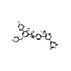 Cc1ccc(-c2cn(CC3CCOCC3)cc(C(=O)Nc3ccc(-c4cc(-c5cc(C)nc(C)c5)cnc4N)cc3)c2=O)cc1